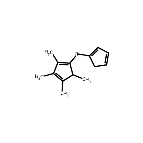 CC1=C(C)C(C)[C]([Ti][C]2=CC=CC2)=C1C